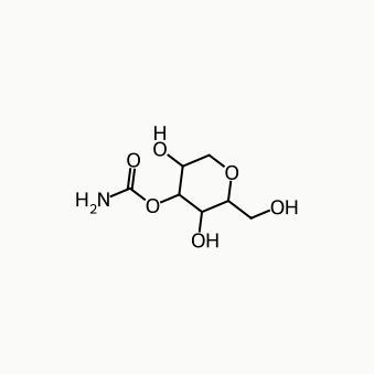 NC(=O)OC1C(O)COC(CO)C1O